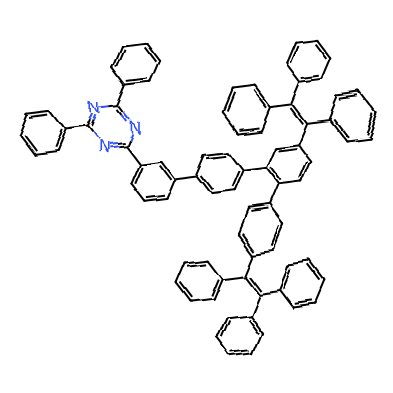 c1ccc(C(=C(c2ccccc2)c2ccc(-c3ccc(C(=C(c4ccccc4)c4ccccc4)c4ccccc4)cc3-c3ccc(-c4cccc(-c5nc(-c6ccccc6)nc(-c6ccccc6)n5)c4)cc3)cc2)c2ccccc2)cc1